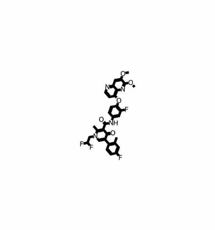 COc1cc2nccc(Oc3ccc(NC(=O)c4c(C)n(CC(F)F)cc(-c5ccc(F)cc5C)c4=O)cc3F)c2nc1OC